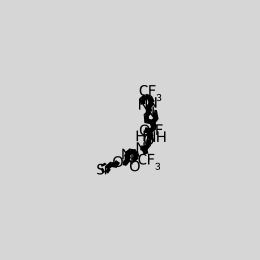 CC(CONC(=O)C(F)=C1CCN(c2ncc(C(F)(F)F)cn2)CC1)Nc1cnn(COCC[Si](C)(C)C)c(=O)c1C(F)(F)F